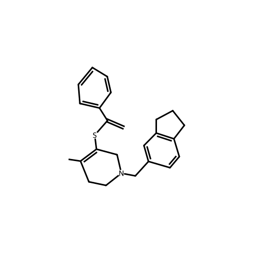 C=C(SC1=C(C)CCN(Cc2ccc3c(c2)CCC3)C1)c1ccccc1